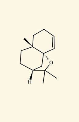 CC1(C)O[C@@]23C=CCC[C@@]2(C)CC[C@@H]1C3